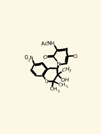 CC(=O)Nc1cc(Cl)cn(C2c3cc([N+](=O)[O-])ccc3OC(C)(C)C2(C)O)c1=O